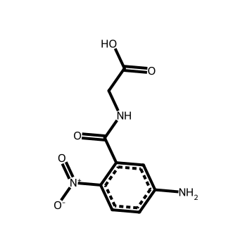 Nc1ccc([N+](=O)[O-])c(C(=O)NCC(=O)O)c1